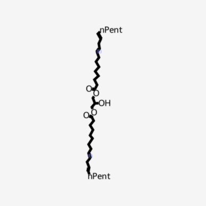 CCCCCC=CC/C=C/CCCCCCCC(=O)OCC(O)COC(=O)CCCCCCC/C=C/CC=CCCCCC